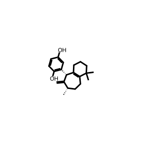 C=C1[C@H](c2cc(O)ccc2O)C2=C(CC[C@@H]1C)C(C)(C)CCC2